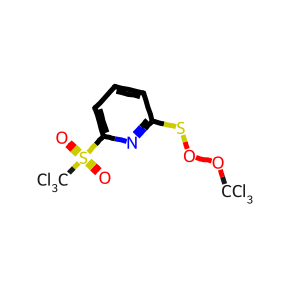 O=S(=O)(c1cccc(SOOC(Cl)(Cl)Cl)n1)C(Cl)(Cl)Cl